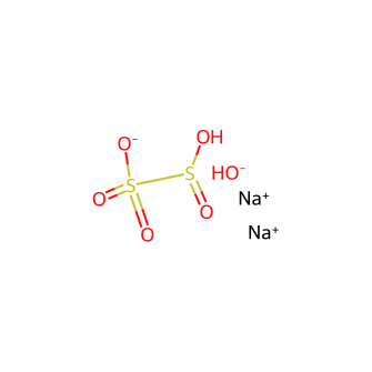 O=S(O)S(=O)(=O)[O-].[Na+].[Na+].[OH-]